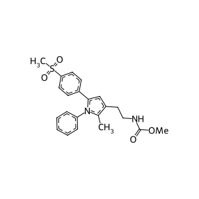 COC(=O)NCCc1cc(-c2ccc(S(C)(=O)=O)cc2)n(-c2ccccc2)c1C